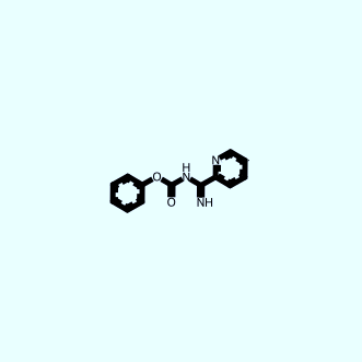 N=C(NC(=O)Oc1ccccc1)c1cc[c]cn1